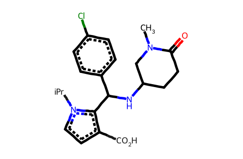 CC(C)n1ccc(C(=O)O)c1C(NC1CCC(=O)N(C)C1)c1ccc(Cl)cc1